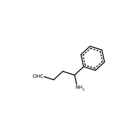 NC(CC[C]=O)c1ccccc1